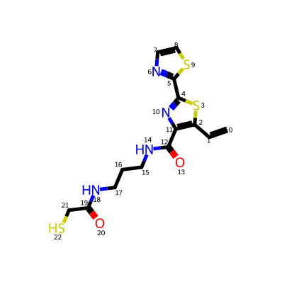 C=Cc1sc(-c2nccs2)nc1C(=O)NCCCNC(=O)CS